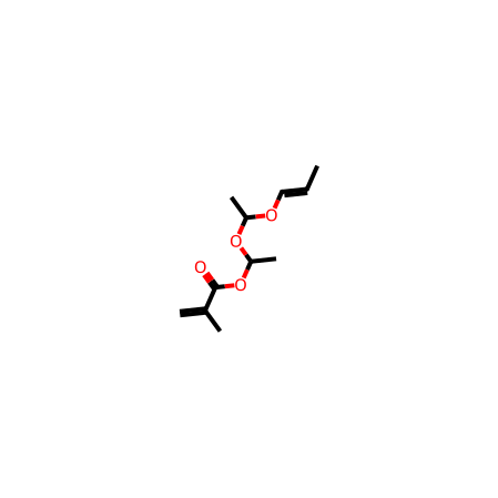 C=C(C)C(=O)OC(C)OC(C)OC=CC